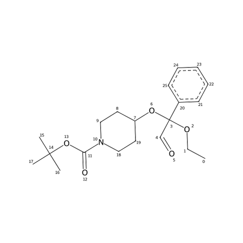 CCOC(C=O)(OC1CCN(C(=O)OC(C)(C)C)CC1)c1ccccc1